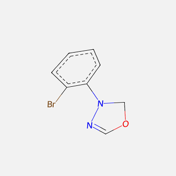 Brc1ccccc1N1COC=N1